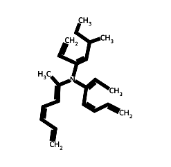 C=C/C=C\C=C(/C)N(/C(C=C)=C/C(C)CC)C(/C=C\C=C)=C/C